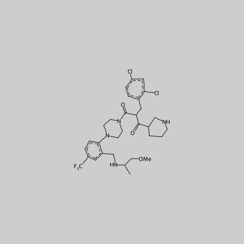 COCC(C)NCc1cc(C(F)(F)F)ccc1N1CCN(C(=O)C(Cc2ccc(Cl)cc2Cl)C(=O)C2CCCNC2)CC1